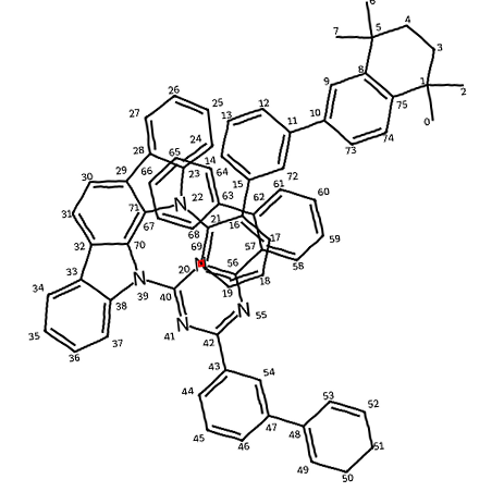 CC1(C)CCC(C)(C)c2cc(-c3cccc(-c4ccccc4-n4c5ccccc5c5ccc6c7ccccc7n(-c7nc(-c8cccc(C9=CCCC=C9)c8)nc(-c8ccccc8-c8ccccc8)n7)c6c54)c3)ccc21